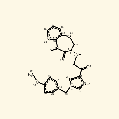 CN1C(=S)[C@@H](NCC(=O)c2ncn(Cc3ccc(OC(F)(F)F)cc3)n2)COc2cccnc21